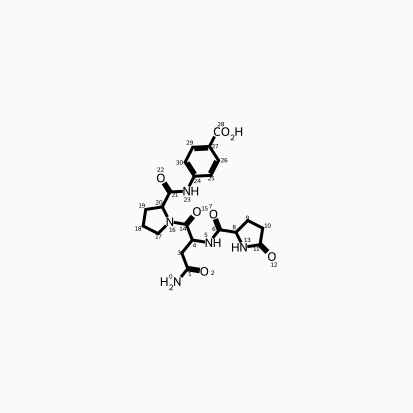 NC(=O)CC(NC(=O)C1CCC(=O)N1)C(=O)N1CCCC1C(=O)Nc1ccc(C(=O)O)cc1